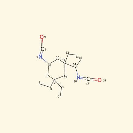 CCC1(CC)CC(N=C=O)CC(CC)(C(C)N=C=O)C1